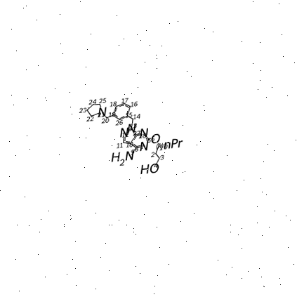 CCC[C@H](CCO)Oc1nc(N)c2cnn(Cc3cccc(CN4CCCC4)c3)c2n1